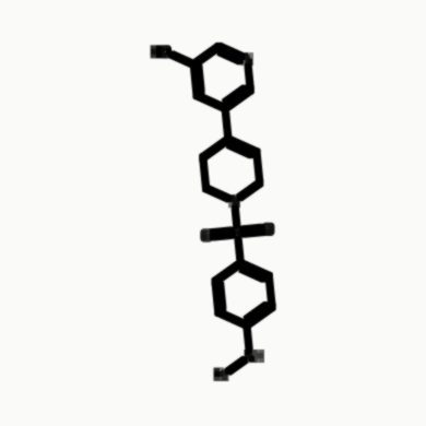 CCNc1ccc(S(=O)(=O)N2CC=C(c3cncc(O)c3)CC2)cc1